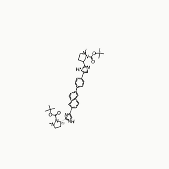 CN1CCC(c2ncc(-c3ccc(-c4ccc5cc(-c6c[nH]c([C@@H]7CCN(C)N7C(=O)OC(C)(C)C)n6)ccc5c4)cc3)[nH]2)N1C(=O)OC(C)(C)C